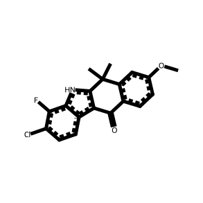 COc1ccc2c(c1)C(C)(C)c1[nH]c3c(F)c(Cl)ccc3c1C2=O